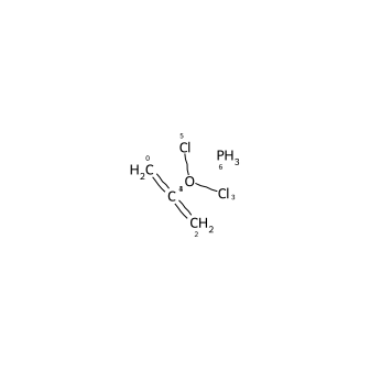 C=C=C.ClOCl.P